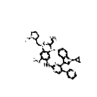 C=CC(=O)Nc1cc(Nc2ncc(-c3cccnc3)c(-c3cn(C4CC4)c4ccccc34)n2)c(OC)cc1N(C)CC1CCCN1C